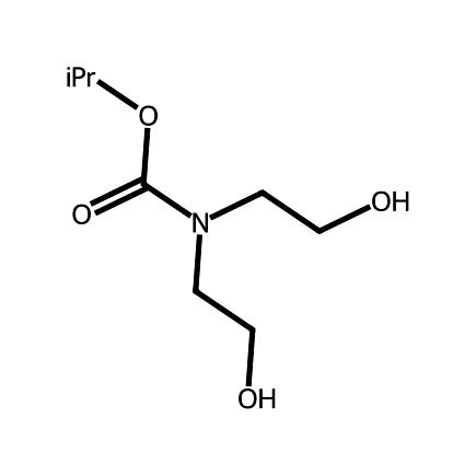 CC(C)OC(=O)N(CCO)CCO